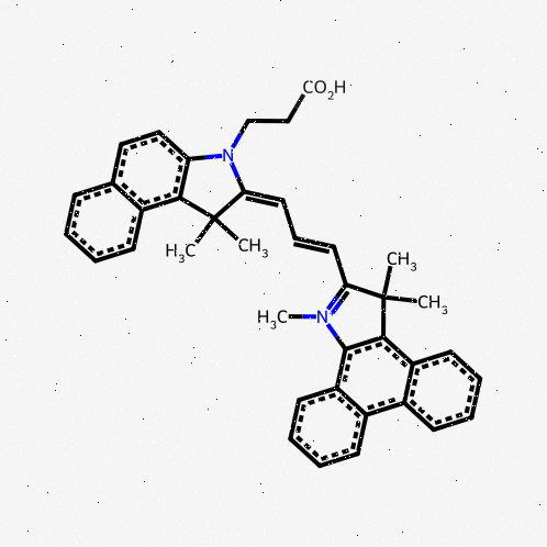 C[N+]1=C(/C=C/C=C2/N(CCC(=O)O)c3ccc4ccccc4c3C2(C)C)C(C)(C)c2c1c1ccccc1c1ccccc21